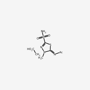 CC(=O)/N=c1\sc(S(N)(=O)=O)nn1C.CC(=O)O